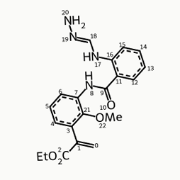 C=C(C(=O)OCC)c1cccc(NC(=O)c2ccccc2NC=NN)c1OC